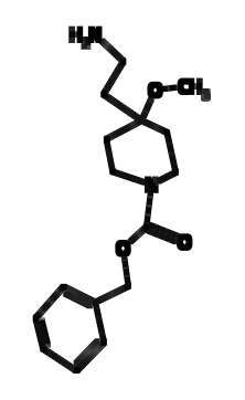 COC1(CCN)CCN(C(=O)OCc2ccccc2)CC1